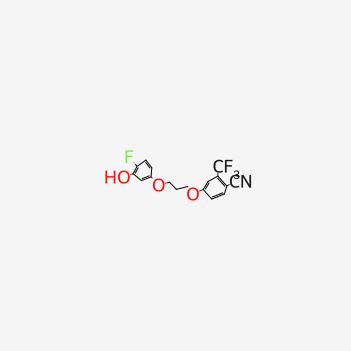 N#Cc1ccc(OCCCOc2ccc(F)c(O)c2)cc1C(F)(F)F